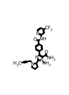 CC#CCN1CCCC1c1nc(-c2ccc(C(=O)Nc3cc(C(F)(F)F)ccn3)cc2)c(C(N)=O)n1N